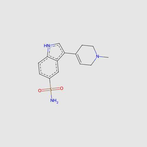 CN1CC=C(c2c[nH]c3ccc(S(N)(=O)=O)cc23)CC1